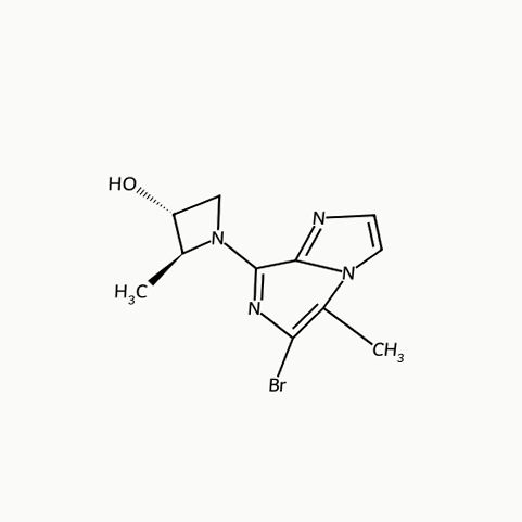 Cc1c(Br)nc(N2C[C@@H](O)[C@@H]2C)c2nccn12